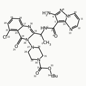 CC(NC(=O)c1c(N)nn2cccnc12)c1nc2cccc(Cl)c2c(=O)n1N1CCN(C(=O)OC(C)(C)C)CC1